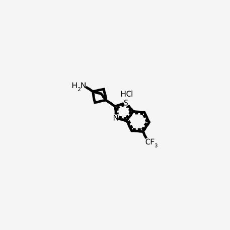 Cl.NC12CC(c3nc4cc(C(F)(F)F)ccc4s3)(C1)C2